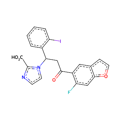 O=C(CC(c1ccccc1I)n1ccnc1C(=O)O)c1cc2ccoc2cc1F